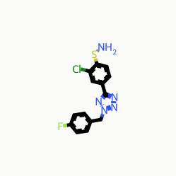 NSc1ccc(-c2nnn(Cc3ccc(F)cc3)n2)cc1Cl